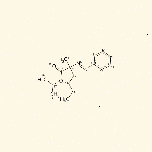 CCCCC(C)(N=Cc1ccccc1)C(=O)OC(C)C